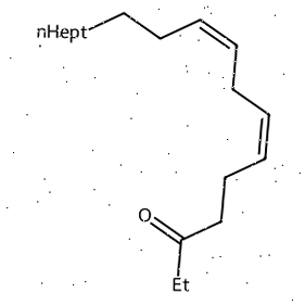 CCCCCCCCC/C=C\C/C=C\CCC(=O)CC